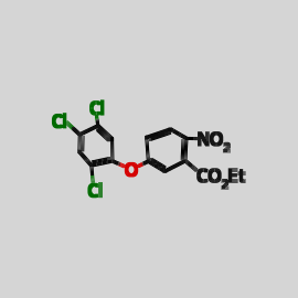 CCOC(=O)c1cc(Oc2cc(Cl)c(Cl)cc2Cl)ccc1[N+](=O)[O-]